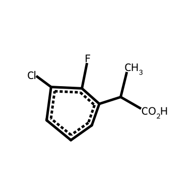 CC(C(=O)O)c1cccc(Cl)c1F